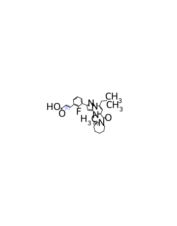 CC(C)Cc1cc(C(=O)N2CCCCC[C@H]2C)nc2cc(-c3cccc(/C=C/C(=O)O)c3F)nn12